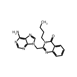 CCCCn1c(Cn2cnc3c(N)ncnc32)nc2ccccc2c1=O